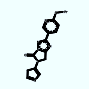 CCCOc1ccc(-c2nc3n(n2)C(=O)N(C2=CN=CC2)C3)cn1